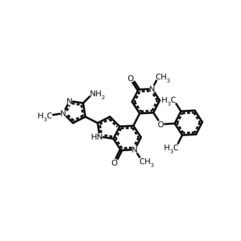 Cc1cccc(C)c1Oc1cn(C)c(=O)cc1-c1cn(C)c(=O)c2[nH]c(-c3cn(C)nc3N)cc12